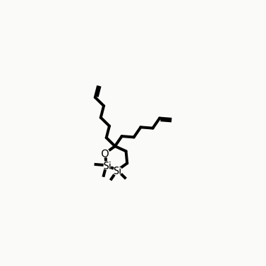 C=CCCCCC1(CCCCC=C)CC[Si](C)(C)[Si](C)(C)O1